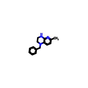 Cc1ccc2c(n1)NCCN2Cc1ccccc1